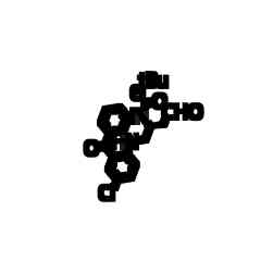 CC(C)(C)OC(=O)N[C@@H](CC=O)CNc1ccc(Cl)cc1C(=O)c1ccccc1